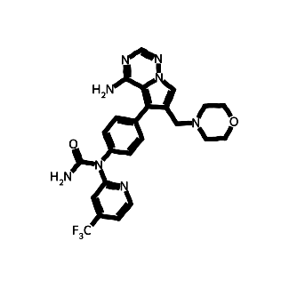 NC(=O)N(c1ccc(-c2c(CN3CCOCC3)cn3ncnc(N)c23)cc1)c1cc(C(F)(F)F)ccn1